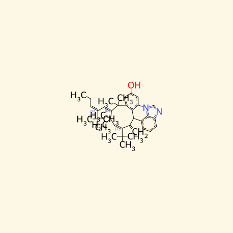 C=C1/C(C(C)(C)C)=C\C(C)(C)/C(=C\C(=C/CC)C(C)(C)C)C(C)(C)c2cc(O)cc3c2C1c1cccc2ncn-3c12